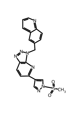 CS(=O)(=O)n1cc(-c2ccc3nnn(Cc4ccc5ncccc5c4)c3n2)cn1